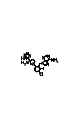 Nc1ncnc2c1ncn2Cc1c(N2CC[C@](N)(c3nnn[nH]3)C2)ccc(Cl)c1I